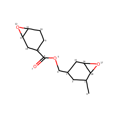 CC1CC(COC(=O)C2CCC3OC3C2)CC2OC12